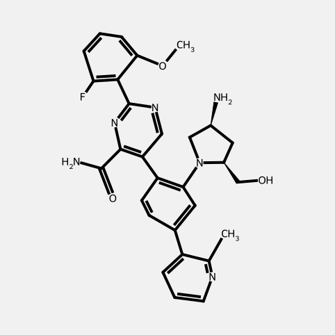 COc1cccc(F)c1-c1ncc(-c2ccc(-c3cccnc3C)cc2N2C[C@@H](N)C[C@H]2CO)c(C(N)=O)n1